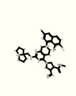 C=C(NC)C1CN(c2nc(OCC34CCCN3CCC4)nc3c2CCN(c2cc(C)cc4ccc(F)c(Br)c24)C3)CC1C=O